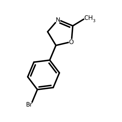 CC1=NCC(c2ccc(Br)cc2)O1